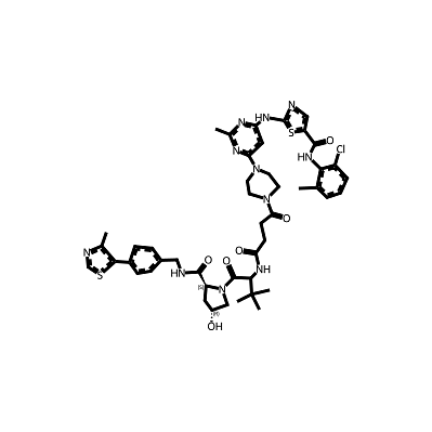 Cc1nc(Nc2ncc(C(=O)Nc3c(C)cccc3Cl)s2)cc(N2CCN(C(=O)CCC(=O)NC(C(=O)N3C[C@H](O)C[C@H]3C(=O)NCc3ccc(-c4scnc4C)cc3)C(C)(C)C)CC2)n1